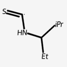 CCC(N[C]=S)C(C)C